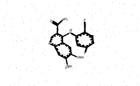 COc1cc2ncc(C(N)=O)c(Nc3cc(F)ccc3F)c2cc1OC